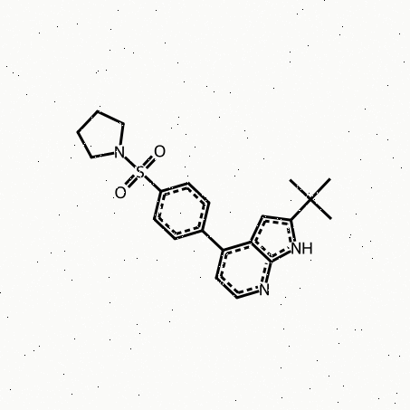 CC(C)(C)c1cc2c(-c3ccc(S(=O)(=O)N4CCCC4)cc3)ccnc2[nH]1